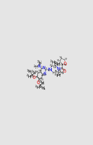 [2H]N([2H])c1nc(N2CC([2H])([2H])N(C(=O)C3CCCO3)C([2H])([2H])C2)nc2cc(OC([2H])([2H])[2H])c(OC([2H])([2H])[2H])cc12